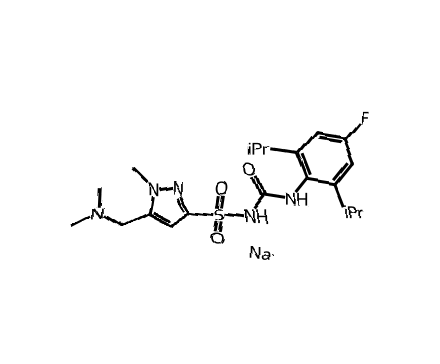 CC(C)c1cc(F)cc(C(C)C)c1NC(=O)NS(=O)(=O)c1cc(CN(C)C)n(C)n1.[Na]